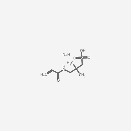 C=CC(=O)NCC(C)(C)CS(=O)(=O)O.[NaH]